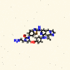 Cc1nccn1Cc1cc(Nc2nc3ccc(N4CCN(CCN)C4=O)cc3s2)nc(NC2CCC(O)CC2)c1